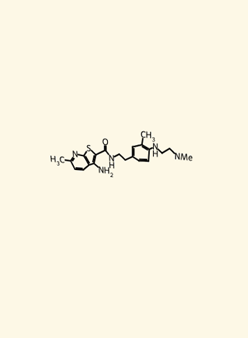 CNCCNc1ccc(CCNC(=O)c2sc3nc(C)ccc3c2N)cc1C